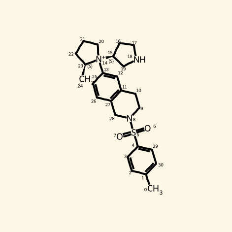 Cc1ccc(S(=O)(=O)N2CCc3cc([N+]4([C@H]5CCNC5)CCC[C@@H]4C)ccc3C2)cc1